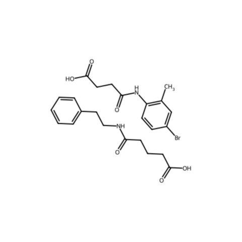 Cc1cc(Br)ccc1NC(=O)CCC(=O)O.O=C(O)CCCC(=O)NCCc1ccccc1